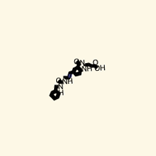 O=C(O)CCc1nc(=O)c2cc(/C=C/CNC(=O)NCc3ccccc3)ccc2[nH]1